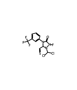 O=C1N(c2cccc(C(F)(F)F)c2)C(C=S)N(C(Cl)Cl)N1F